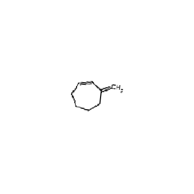 C=C1C=CCCCC1